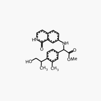 COC(=O)C(Nc1ccc2cc[nH]c(=O)c2c1)c1ccc(C(C)CO)c(C)c1